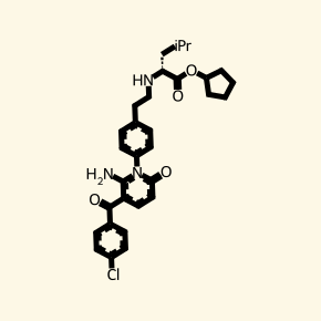 CC(C)C[C@@H](NCCc1ccc(-n2c(N)c(C(=O)c3ccc(Cl)cc3)ccc2=O)cc1)C(=O)OC1CCCC1